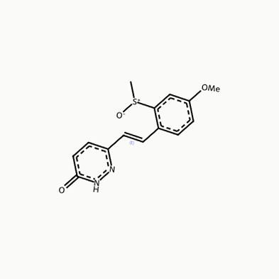 COc1ccc(/C=C/c2ccc(=O)[nH]n2)c([S+](C)[O-])c1